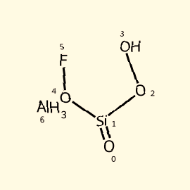 O=[Si](OO)OF.[AlH3]